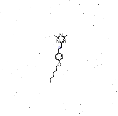 CCCCCCOc1ccc(/C=C/c2nc(C)nc(C)n2)cc1